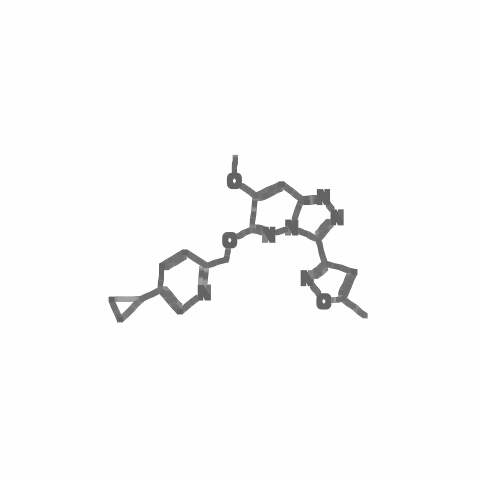 COc1cc2nnc(-c3cc(C)on3)n2nc1OCc1ccc(C2CC2)cn1